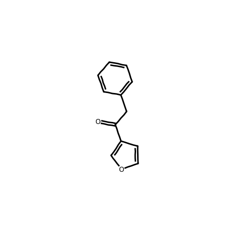 O=C(Cc1ccccc1)c1ccoc1